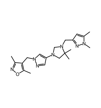 Cc1noc(C)c1Cn1cc(N2CN(Cc3cc(C)n(C)n3)C(C)(C)C2)cn1